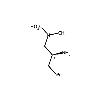 CC(C)C[C@H](N)CN(C)C(=O)O